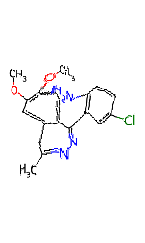 COc1cc2c(cc1OC)C(c1cc(Cl)ccc1N)=NN=C(C)C2